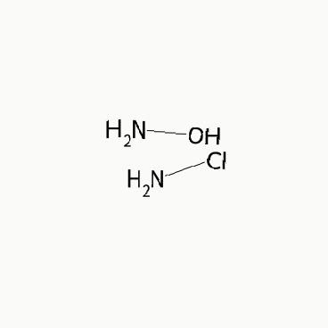 NCl.NO